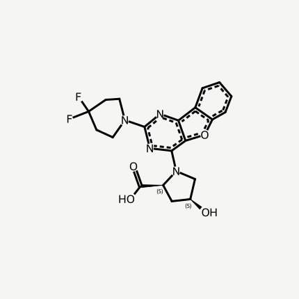 O=C(O)[C@@H]1C[C@H](O)CN1c1nc(N2CCC(F)(F)CC2)nc2c1oc1ccccc12